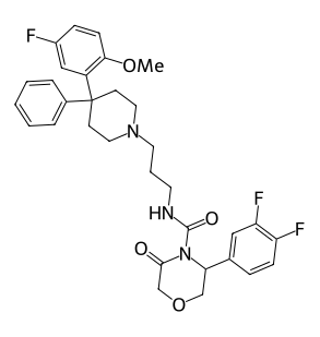 COc1ccc(F)cc1C1(c2ccccc2)CCN(CCCNC(=O)N2C(=O)COCC2c2ccc(F)c(F)c2)CC1